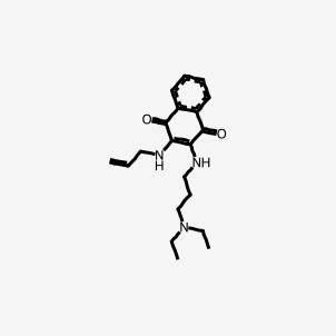 C=CCNC1=C(NCCCN(CC)CC)C(=O)c2ccccc2C1=O